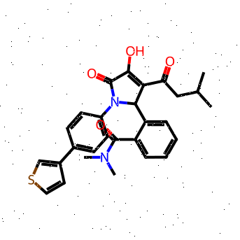 CC(C)CC(=O)C1=C(O)C(=O)N(c2ccc(-c3ccsc3)cc2)C1c1ccccc1C(=O)N(C)C